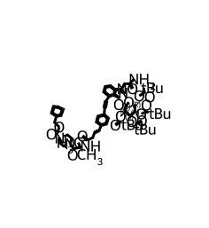 CC(C)(C)C(=O)OC[C@H]1O[C@@H](Oc2nn(CC(N)=O)c3cccc(C#Cc4ccc(C=CCC(=O)NC(C)(C)C(=O)N5CCN(C(=O)OCc6ccccc6)CC5)cc4)c23)[C@H](OC(=O)C(C)(C)C)[C@@H](OC(=O)C(C)(C)C)[C@@H]1OC(=O)C(C)(C)C